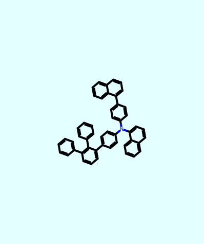 c1ccc(-c2cccc(-c3ccc(N(c4ccc(-c5cccc6ccccc56)cc4)c4cccc5ccccc45)cc3)c2-c2ccccc2)cc1